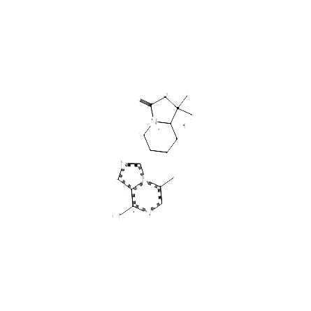 Cc1cnc(Cl)c2cnc([C@H]3CC[C@H]4N(C3)C(=O)CC4(C)C)n12